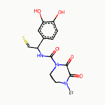 CCN1CCN(C(=O)NC([C]=S)c2ccc(O)c(O)c2)C(=O)C1=O